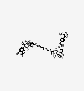 Cc1cc(OCCCCOCCOCC(=O)N[C@H](C(=O)N2CCC[C@H]2C(=O)NCc2ccc(-c3scnc3C)cc2)C(C)(C)C)ncc1N1C(=S)N(c2ccc(C#N)c(C(F)(F)F)c2F)C(=O)C1(C)C